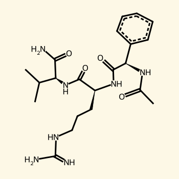 CC(=O)N[C@@H](C(=O)N[C@@H](CCCNC(=N)N)C(=O)N[C@H](C(N)=O)C(C)C)c1ccccc1